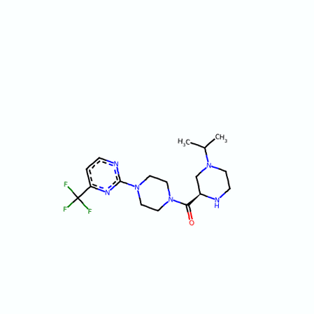 CC(C)N1CCN[C@@H](C(=O)N2CCN(c3nccc(C(F)(F)F)n3)CC2)C1